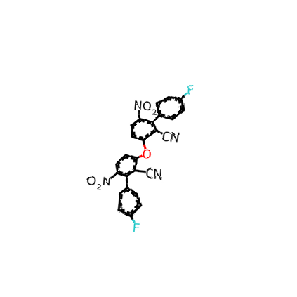 N#Cc1c(Oc2ccc([N+](=O)[O-])c(-c3ccc(F)cc3)c2C#N)ccc([N+](=O)[O-])c1-c1ccc(F)cc1